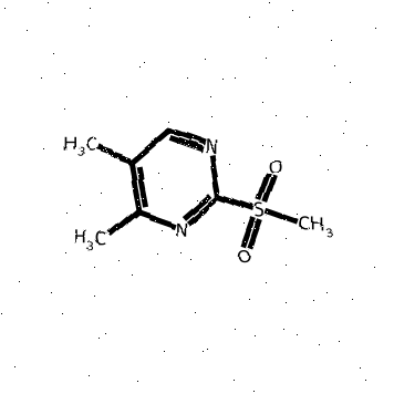 Cc1cnc(S(C)(=O)=O)nc1C